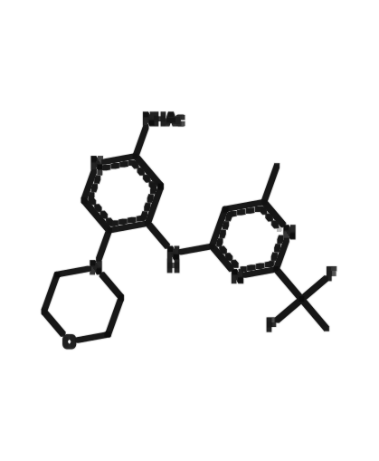 CC(=O)Nc1cc(Nc2cc(C)nc(C(C)(F)F)n2)c(N2CCOCC2)cn1